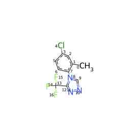 Cc1cc(Cl)ccc1-n1cnnc1C(F)(F)F